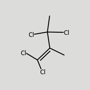 CC(=C(Cl)Cl)C(C)(Cl)Cl